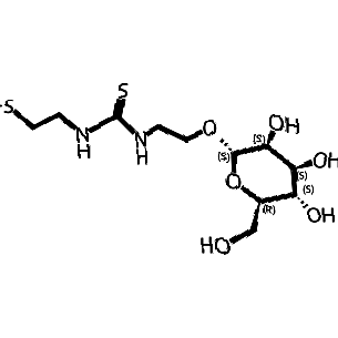 OC[C@H]1O[C@H](OCCNC(=S)NCC[S])[C@@H](O)[C@@H](O)[C@@H]1O